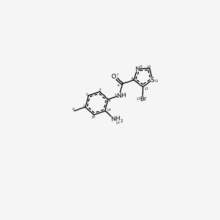 Cc1ccc(NC(=O)c2ncsc2Br)c(N)c1